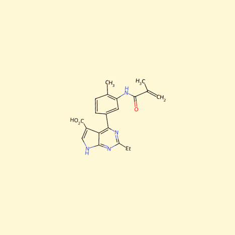 C=C(C)C(=O)Nc1cc(-c2nc(CC)nc3[nH]cc(C(=O)O)c23)ccc1C